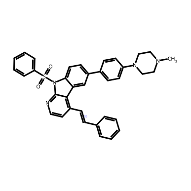 CN1CCN(c2ccc(-c3ccc4c(c3)c3c(/C=C/c5ccccc5)ccnc3n4S(=O)(=O)c3ccccc3)cc2)CC1